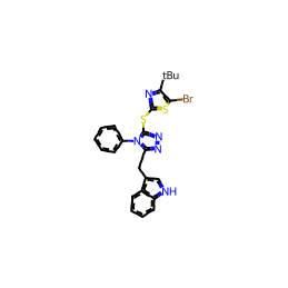 CC(C)(C)c1nc(Sc2nnc(Cc3c[nH]c4ccccc34)n2-c2ccccc2)sc1Br